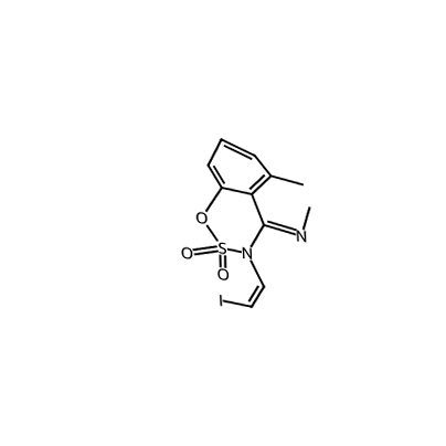 C/N=C1\c2c(C)cccc2OS(=O)(=O)N1/C=C\I